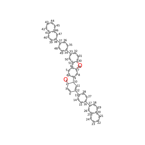 C1=CC2Oc3cc4c(cc3C2C=C1c1ccc(-c2ccc3ccccc3c2)cc1)oc1ccc(-c2ccc(-c3ccc5ccccc5c3)cc2)cc14